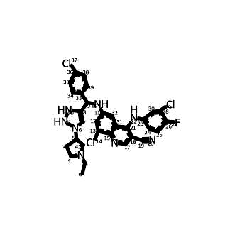 CCN1CCC(N2C=C(C(Nc3cc(Cl)c4ncc(C#N)c(Nc5ccc(F)c(Cl)c5)c4c3)c3ccc(Cl)cc3)NN2)C1